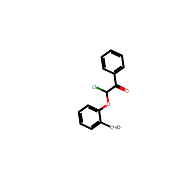 O=[C]c1ccccc1OC(Cl)C(=O)c1ccccc1